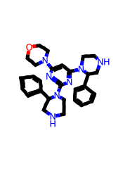 c1ccc(C2CNCCN2c2cc(N3CCOCC3)nc(N3CCNCC3c3ccccc3)n2)cc1